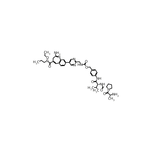 CCCN(OCC)C(=O)C1=Cc2ccc(-c3cnc(CNC(=O)OCc4ccc(NC(=O)[C@@H](NC(=O)[C@@H]5CCCN5C(=O)[C@H](C)N)C(C)C)cc4)nc3)cc2N=C(N)C1